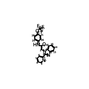 O=C(Cn1c(-c2ccccn2)nc2ccccc21)Nc1ccc(OC(F)(F)F)cc1